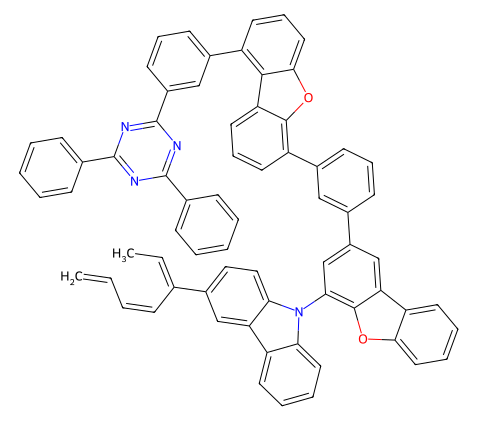 C=C/C=C\C(=C/C)c1ccc2c(c1)c1ccccc1n2-c1cc(-c2cccc(-c3cccc4c3oc3cccc(-c5cccc(-c6nc(-c7ccccc7)nc(-c7ccccc7)n6)c5)c34)c2)cc2c1oc1ccccc12